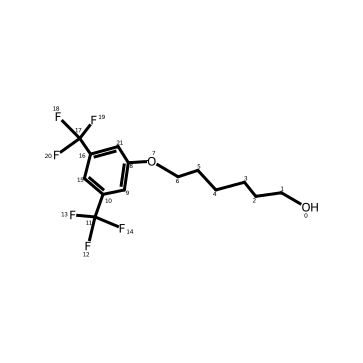 OCCCCCCOc1cc(C(F)(F)F)cc(C(F)(F)F)c1